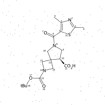 Cc1nc(C)c(C(=O)N2C[C@@H](C(=O)O)C3(CN(C(=O)OC(C)(C)C)C3)C2)s1